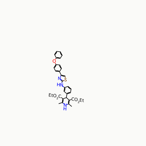 CCOC(=O)C1=C(C)NC(C)=C(C(=O)OCC)C1c1cccc(Nc2nc(-c3ccc(Oc4ccccc4)cc3)cs2)c1